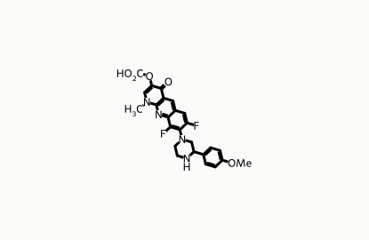 COc1ccc(C2CN(c3c(F)cc4cc5c(=O)c(OC(=O)O)cn(C)c5nc4c3F)CCN2)cc1